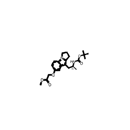 COC(=O)COc1ccc2c(c1)c(C[C@H](C)NC(=O)OC(C)(C)C)c1n2CCC1